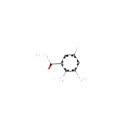 NC(=O)c1cc(F)cc(N)c1N